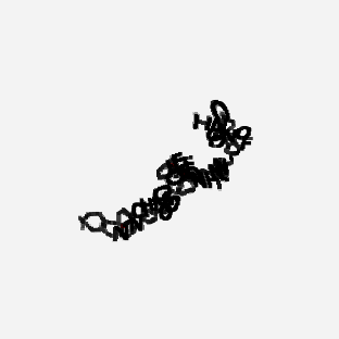 CC1(C)CCC(c2ccc(Cl)cc2)=C(CN2CCN(c3ccc(C(=O)NS(=O)(=O)c4ccc(NC(CCN5CC6CCC5CN6Cc5cc(F)c6c(c5)C(=O)N(C5CCC(=O)NC5=O)C6=O)CSc5ccccc5)c(S(=O)(=O)C(F)(F)F)c4)cc3)CC2)C1